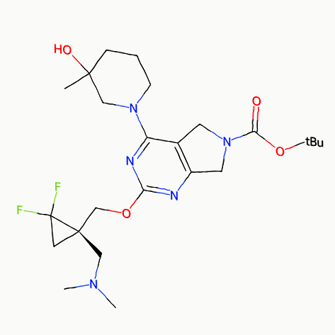 CN(C)C[C@@]1(COc2nc3c(c(N4CCCC(C)(O)C4)n2)CN(C(=O)OC(C)(C)C)C3)CC1(F)F